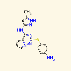 Cc1cc(Nc2nc(Sc3ccc(N)cc3)nn3cccc23)n[nH]1